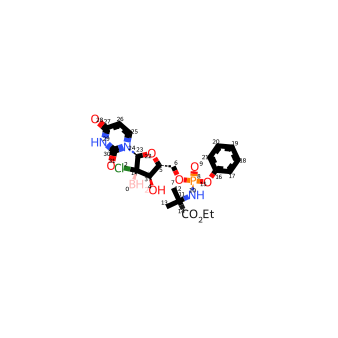 B[C@]1(Cl)[C@H](O)[C@@H](CO[P@@](=O)(NC(C)(C)C(=O)OCC)Oc2ccccc2)O[C@H]1n1ccc(=O)[nH]c1=O